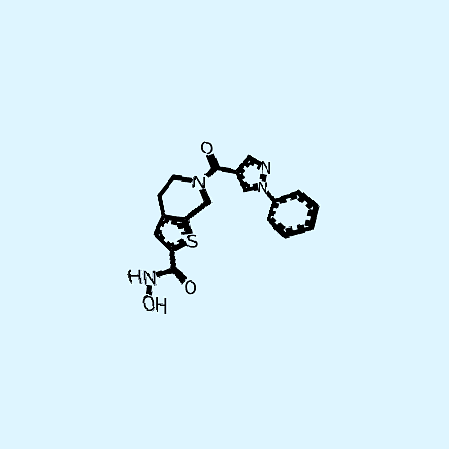 O=C(NO)c1cc2c(s1)CN(C(=O)c1cnn(-c3ccccc3)c1)CC2